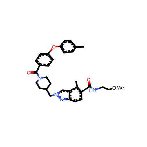 COCCNC(=O)c1ccc2nn(CC3CCN(C(=O)c4ccc(Oc5ccc(C)cc5)cc4)CC3)cc2c1C